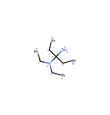 CC(C)CN(CC(C)C)C(N)(CC(C)C)CC(C)C